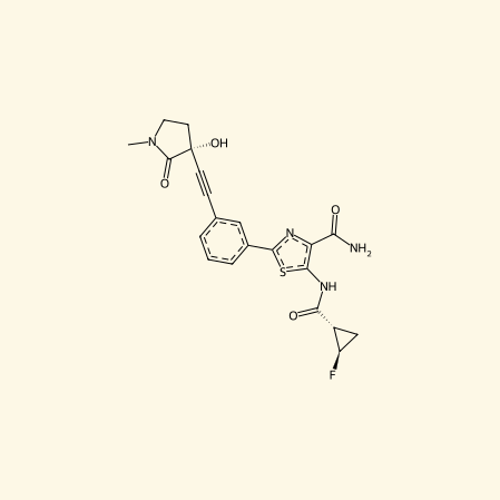 CN1CC[C@@](O)(C#Cc2cccc(-c3nc(C(N)=O)c(NC(=O)[C@@H]4C[C@H]4F)s3)c2)C1=O